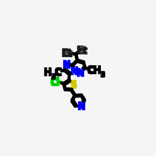 CCC(CC)c1cc(C)nn2c(-c3sc(-c4ccncc4)cc3Cl)c(C)nc12